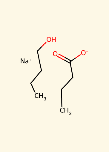 CCCC(=O)[O-].CCCCO.[Na+]